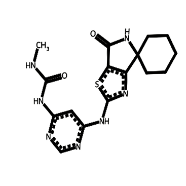 CNC(=O)Nc1cc(Nc2nc3c(s2)C(=O)NC32CCCCC2)ncn1